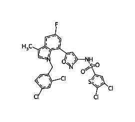 Cc1cn(Cc2ccc(Cl)cc2Cl)c2c(-c3cc(NS(=O)(=O)c4cc(Cl)c(Cl)s4)no3)cc(F)cc12